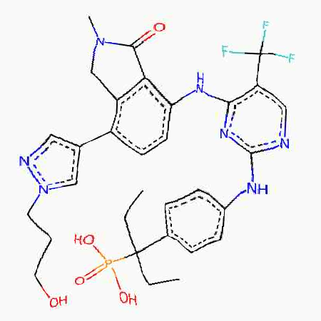 CCC(CC)(c1ccc(Nc2ncc(C(F)(F)F)c(Nc3ccc(-c4cnn(CCCO)c4)c4c3C(=O)N(C)C4)n2)cc1)P(=O)(O)O